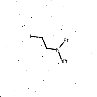 CCCN(CC)CCI